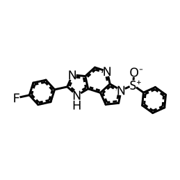 [O-][S+](c1ccccc1)n1ccc2c3[nH]c(-c4ccc(F)cc4)nc3cnc21